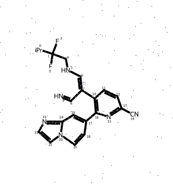 CC(C)C(F)(F)CN/C=C(\C=N)c1ccc(C#N)nc1-c1ccn2ccnc2c1